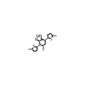 Cc1ccc(-c2cc(F)c(-c3ccc(C)s3)c3nsnc23)s1